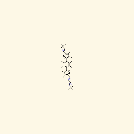 Cc1c(/C=C/C=C/C(C)(C)C)sc(-c2c(C)c(C)c(-c3sc(/C=C/C(C)(C)C)c(C)c3C)c(C)c2C)c1C